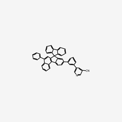 N#Cc1cncc(-c2cccc(-c3ccc4c(c3)C3(c5ccccc5-c5ccccc53)c3cc(-c5ccccc5)c5ccccc5c3-4)c2)c1